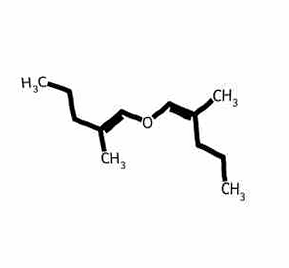 CCCC(C)=COC=C(C)CCC